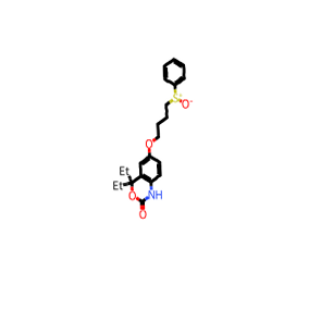 CCC1(CC)OC(=O)Nc2ccc(OCCCC[S+]([O-])c3ccccc3)cc21